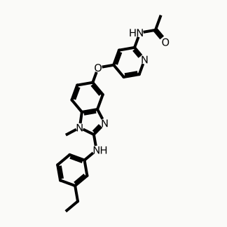 CCc1cccc(Nc2nc3cc(Oc4ccnc(NC(C)=O)c4)ccc3n2C)c1